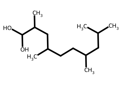 CC(C)CC(C)CCC(C)CC(C)C(O)O